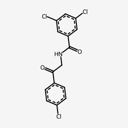 O=C(CNC(=O)c1cc(Cl)cc(Cl)c1)c1ccc(Cl)cc1